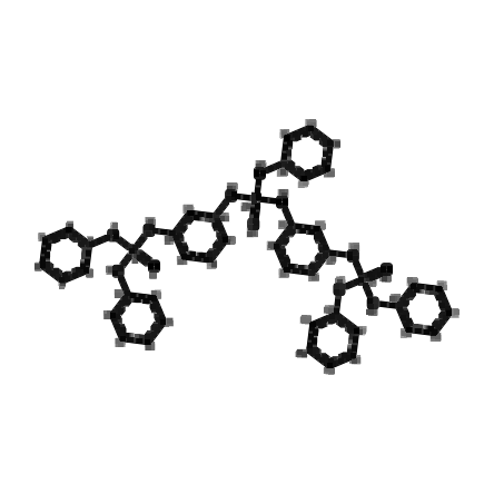 O=P(Oc1ccccc1)(Oc1ccccc1)Oc1cccc(OP(=O)(Oc2ccccc2)Oc2cccc(OP(=O)(Oc3ccccc3)Oc3ccccc3)c2)c1